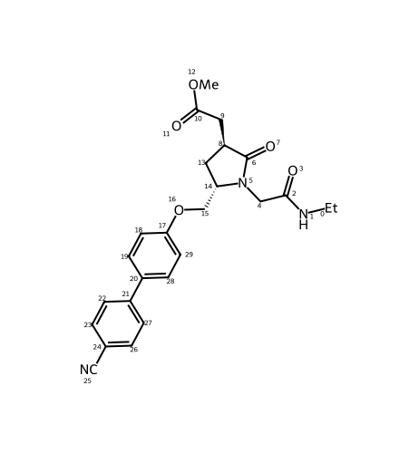 CCNC(=O)CN1C(=O)[C@H](CC(=O)OC)C[C@H]1COc1ccc(-c2ccc(C#N)cc2)cc1